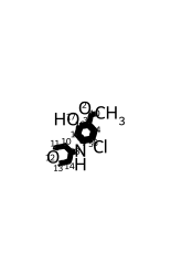 CC(=O)c1cc(Cl)c(NC2CCOCC2)cc1O